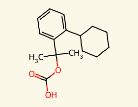 CC(C)(OC(=O)O)c1ccccc1C1CCCCC1